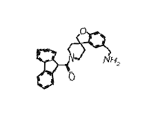 NCc1ccc2c(c1)C1(CCN(C(=O)C3c4ccccc4-c4ccccc43)CC1)CO2